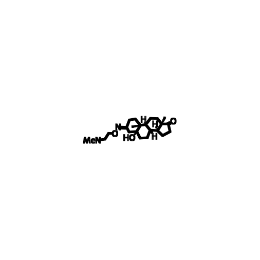 CNCCO/N=C1/CC[C@]2(C)[C@H]3CC[C@]4(C)C(=O)CC[C@H]4[C@@H]3CC[C@@]2(O)C1